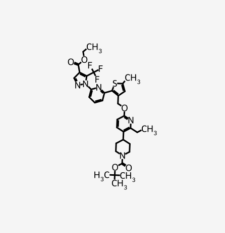 CCOC(=O)c1cnn(-c2cccc(-c3sc(C)cc3COc3ccc(C4CCN(C(=O)OC(C)(C)C)CC4)c(CC)n3)n2)c1C(F)(F)F